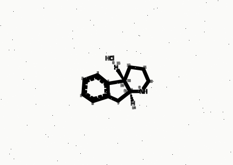 Cl.c1ccc2c(c1)C[C@@H]1NCCC[C@@H]21